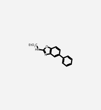 CCOC(=O)Nc1nc2cc(-c3ccccc3)ccc2o1